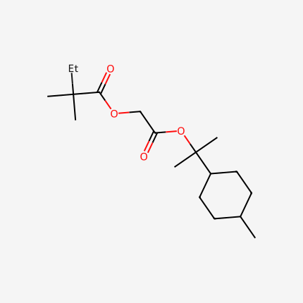 CCC(C)(C)C(=O)OCC(=O)OC(C)(C)C1CCC(C)CC1